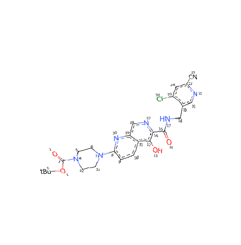 CC(C)(C)OC(=O)N1CCN(c2ccc3c(O)c(C(=O)NCc4cnc(C#N)cc4Cl)ncc3n2)CC1